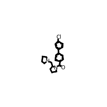 O=C(c1ccc(-c2ccc(Cl)cc2)cc1)N1CCCC1CN1CCCC1